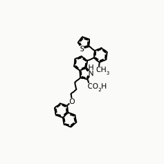 Cc1cccc(-c2cccs2)c1-c1cccc2c(CCCOc3cccc4ccccc34)c(C(=O)O)[nH]c12